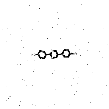 CCCc1ccc(-c2cnc(-c3ccc(C#N)cc3)nc2)cc1